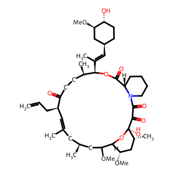 C=CC[C@@H]1/C=C(\C)C[C@H](C)CC(OC)[C@H]2O[C@@](O)(C(=O)C(=O)N3CCCC[C@H]3C(=O)O[C@H](/C(C)=C/[C@@H]3CC[C@@H](O)[C@H](OC)C3)[C@H](C)CCC1=O)[C@H](C)C[C@@H]2OC